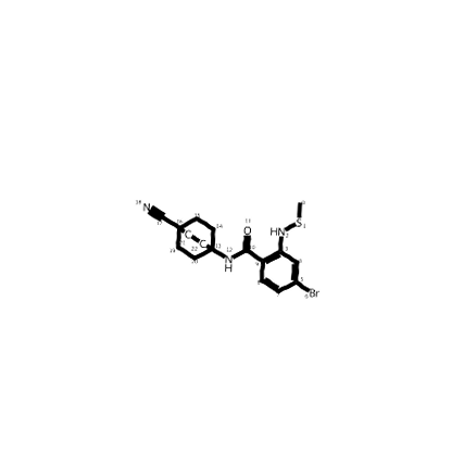 CSNc1cc(Br)ccc1C(=O)NC12CCC(C#N)(CC1)CC2